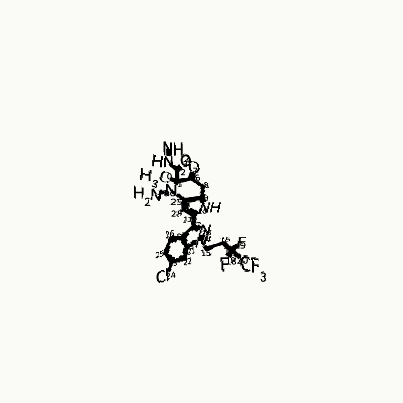 CC1(C(=O)NN)C(=O)Cc2[nH]c(-c3nn(CCC(F)(F)C(F)(F)F)c4cc(Cl)ccc34)cc2N1N